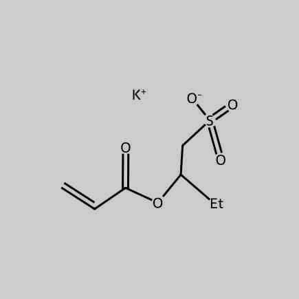 C=CC(=O)OC(CC)CS(=O)(=O)[O-].[K+]